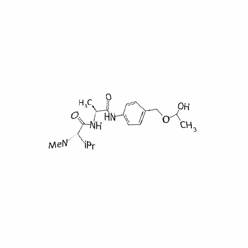 CN[C@H](C(=O)N[C@@H](C)C(=O)Nc1ccc(COC(C)O)cc1)C(C)C